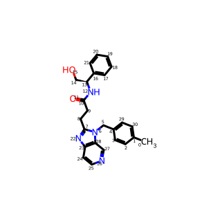 Cc1ccc(Cn2c(CCC(=O)N[C@@H](CO)c3ccccc3)nc3ccncc32)cc1